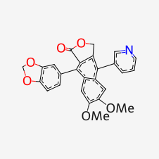 COc1cc2c(-c3cccnc3)c3c(c(-c4ccc5c(c4)OCO5)c2cc1OC)C(=O)OC3